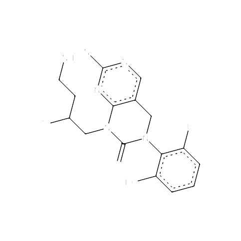 CCC(CCN)CN1C(=O)N(c2c(C)cccc2F)Cc2cnc(N)nc21